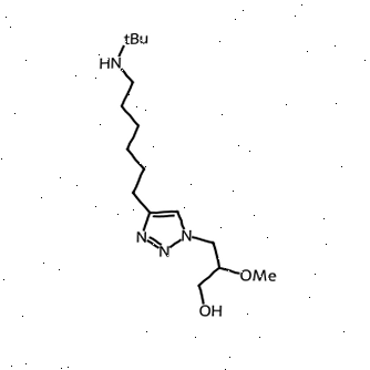 COC(CO)Cn1cc(CCCCCCNC(C)(C)C)nn1